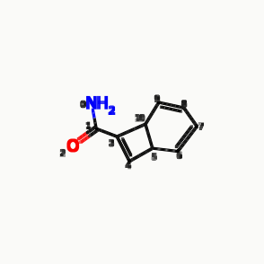 NC(=O)C1=CC2C=CC=CC12